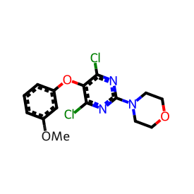 COc1cccc(Oc2c(Cl)nc(N3CCOCC3)nc2Cl)c1